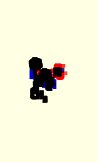 CCCCC(C#N)(CN1[C+]=NC=C1)c1ccccc1Oc1ccccc1.O=[N+]([O-])[O-]